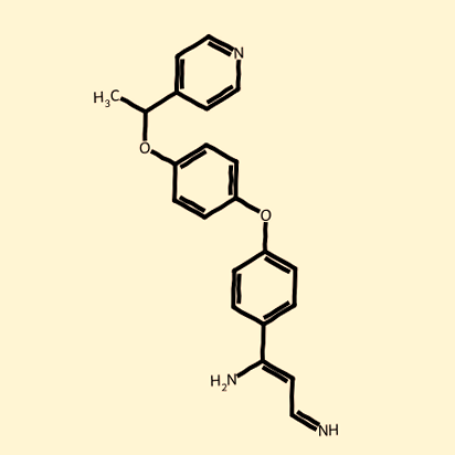 CC(Oc1ccc(Oc2ccc(/C(N)=C/C=N)cc2)cc1)c1ccncc1